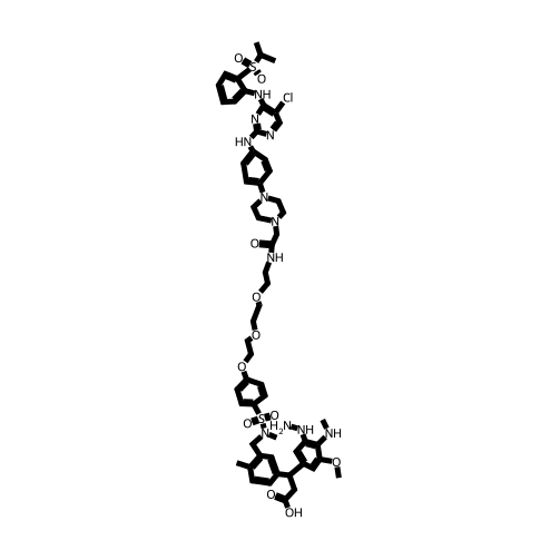 CNc1c(NN)cc(C(CC(=O)O)c2ccc(C)c(CN(C)S(=O)(=O)c3ccc(OCCOCCOCCNC(=O)CN4CCN(c5ccc(Nc6ncc(Cl)c(Nc7ccccc7S(=O)(=O)C(C)C)n6)cc5)CC4)cc3)c2)cc1OC